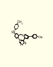 CC1CCC(Nc2ccc3c(c2)Cn2cc(-c4ccc(C#N)cc4)cc2-c2nncn2-3)CC1